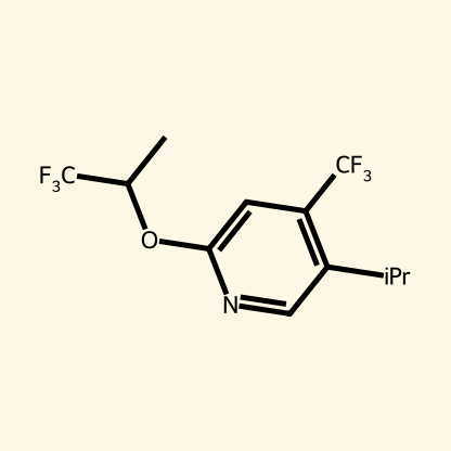 CC(C)c1cnc(OC(C)C(F)(F)F)cc1C(F)(F)F